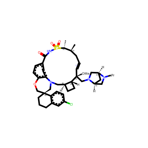 CO[C@]1(CN2C[C@@H]3C[C@H]2CN3C(C)C)/C=C/C[C@H](C)[C@@H](C)S(=O)(=O)NC(=O)c2ccc3c(c2)N(C[C@@H]2CC[C@H]21)C[C@@]1(CCCc2cc(Cl)ccc21)CO3